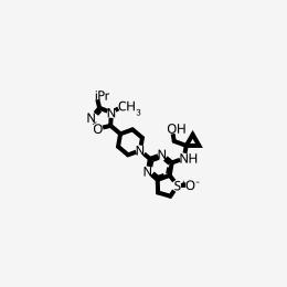 CC(C)C1=NOC(C2CCN(c3nc4c(c(NC5(CO)CC5)n3)[S+]([O-])CC4)CC2)N1C